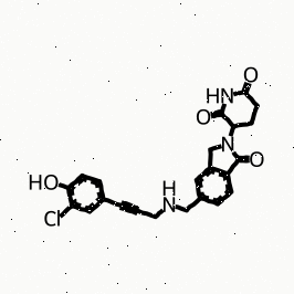 O=C1CCC(N2Cc3cc(CNCC#Cc4ccc(O)c(Cl)c4)ccc3C2=O)C(=O)N1